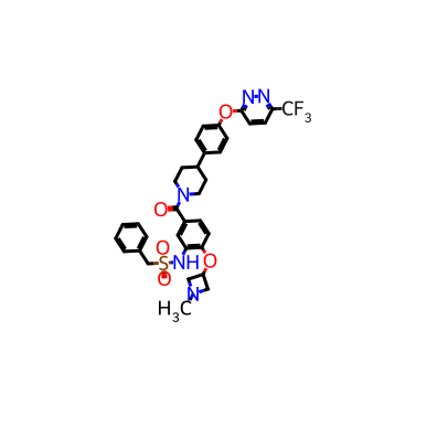 CN1CC(Oc2ccc(C(=O)N3CCC(c4ccc(Oc5ccc(C(F)(F)F)nn5)cc4)CC3)cc2NS(=O)(=O)Cc2ccccc2)C1